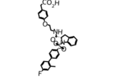 Cc1cc(F)ccc1-c1ccc(S(=O)(=O)N2c3ccccc3C[C@H]2C(=O)NCCOc2ccc(CC(=O)O)cc2)cc1